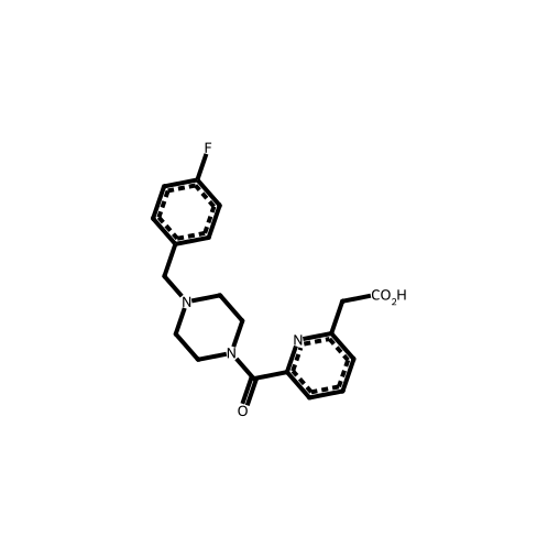 O=C(O)Cc1cccc(C(=O)N2CCN(Cc3ccc(F)cc3)CC2)n1